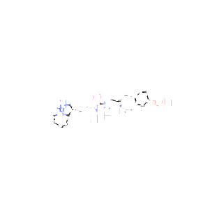 CN(C)/C(=C\NC(=O)NCCc1cnn2ccccc12)Cc1ccc(O)cc1